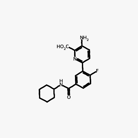 Nc1ccc(-c2cc(C(=O)NC3CCCCC3)ccc2F)nc1C(=O)O